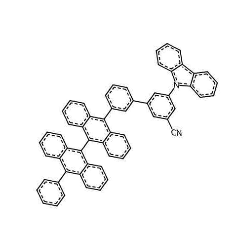 N#Cc1cc(-c2cccc(-c3c4ccccc4c(-c4c5ccccc5c(-c5ccccc5)c5ccccc45)c4ccccc34)c2)cc(-n2c3ccccc3c3ccccc32)c1